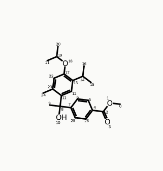 COC(=O)c1ccc(C(C)(O)c2cc(C(C)C)c(OC(C)C)cc2C)cc1